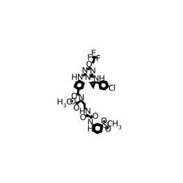 COC(=O)/C(CCNC(=O)C(=O)Nc1cccc(S(C)(=O)=O)c1)=N\C(=O)c1ccc(Nc2nc(NC3(c4ccc(Cl)cc4)CC3)nc(OCC(F)(F)F)n2)cc1